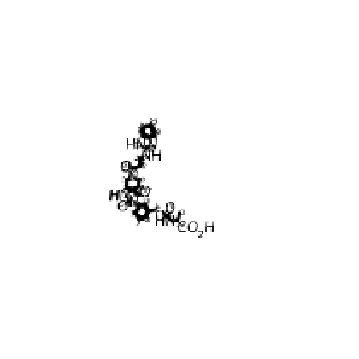 C[C@H](NC(=O)OCc1cccc(N2C(=O)NC3(CCN(C(=O)CCNc4nc5ccccc5[nH]4)CC3)C2=O)c1)C(=O)O